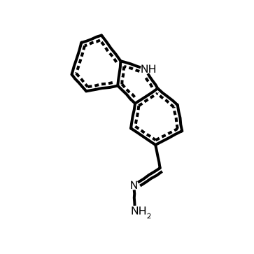 NN=Cc1ccc2[nH]c3ccccc3c2c1